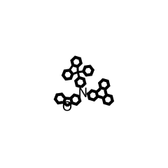 c1ccc(C2(c3ccc(N(c4ccc5oc6ccccc6c5c4)c4ccc5c6ccccc6c6ccccc6c5c4)cc3)c3ccccc3-c3ccccc32)cc1